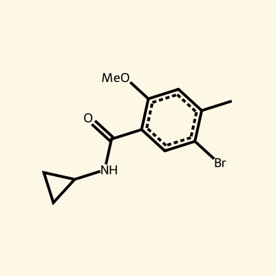 COc1cc(C)c(Br)cc1C(=O)NC1CC1